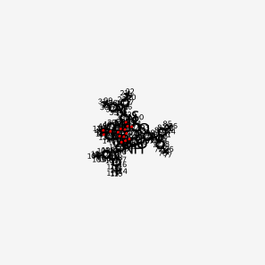 CSN1c2cc3c(cc2B2c4c1cc(-n1c5ccc(C(C)(C)C)cc5c5cc(C(C)(C)C)ccc51)cc4-n1c4ccc(C(C)(C)C)cc4c4cc(C(C)(C)C)cc2c41)B1c2cc4c(cc2Oc2cc(-n5c6ccc(C(C)(C)C)cc6c6cc(C(C)(C)C)ccc65)cc(c21)O3)Nc1cc(-n2c3ccc(C(C)(C)C)cc3c3cc(C(C)(C)C)ccc32)cc2c1B4c1cc(C(C)(C)C)cc3c4cc(C(C)(C)C)ccc4n-2c13